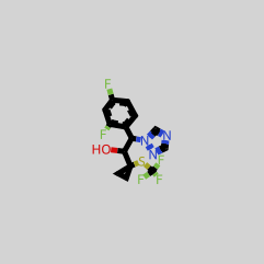 OC(C(c1ccc(F)cc1F)n1cncn1)C1(SC(F)(F)F)CC1